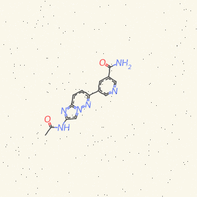 CC(=O)Nc1cn2nc(-c3cncc(C(N)=O)c3)ccc2n1